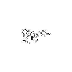 C#Cc1ccc(Cn2nc(C(F)(F)F)c(NC(=O)c3cc(C(N)=O)nc4cccc(F)c34)c2C)nc1